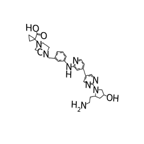 NCCC1CC(O)CN1c1ncc(-c2ccnc(Nc3cccc(CN4CCN(C5(C(=O)O)CC5)CC4)c3)c2)cn1